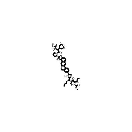 CCCC[C@@H](c1ncc(-c2ccc3c(c2)COc2cc4c(ccc5nc([C@@H]6CC[C@H](C)N6C(=O)[C@@H](NC(=O)OC)C6C[C@@H](C)O[C@H](C)C6)[nH]c54)cc2-3)[nH]1)N(C)C(=O)[C@@H](NC(=O)OC)[C@@H](C)CC